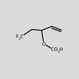 C=CC(CC(F)(F)F)OC(=O)O